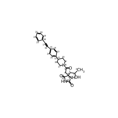 CC(O)CC1(CC(=O)N2CCC(c3ccc(C#Cc4ccccc4)cc3)CC2)NC(=O)NC1=O